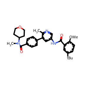 COc1ccc(C(C)(C)C)cc1C(=O)Nc1cnc(C)c(-c2ccc(C(=O)N(C)C3CCOCC3)cc2)c1